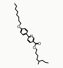 CCCCCCCCOc1ccc(-c2ccc(C(=O)OCCCCC(C)CCC)cn2)cc1